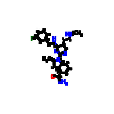 CNCCc1cnc(-n2c(C)cc3c(C(N)=O)cccc32)nc1NCc1cccc(F)c1